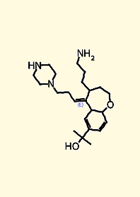 CC(C)(O)C1=CC2/C(=C/CCN3CCNCC3)C(CCCN)CCOC2C=C1